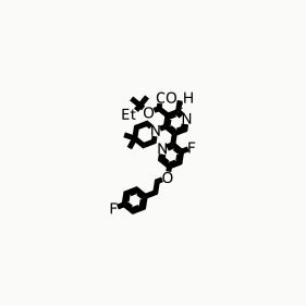 CCC(C)(C)OC(C(=O)O)c1c(C)ncc(-c2ncc(OCCc3ccc(F)cc3)cc2F)c1N1CCC(C)(C)CC1